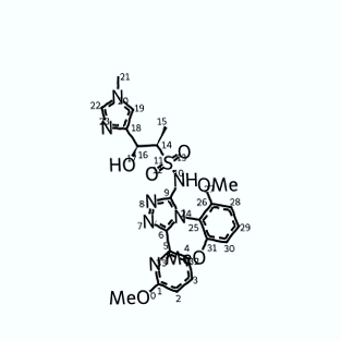 COc1cccc(-c2nnc(NS(=O)(=O)[C@H](C)[C@@H](O)c3cn(C)cn3)n2-c2c(OC)cccc2OC)n1